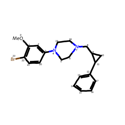 COc1cc(N2CCN(CC3CC3c3ccccc3)CC2)ccc1Br